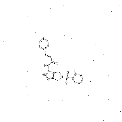 Cc1ccccc1S(=O)(=O)N1Cc2n[nH]c(NC(=O)/C=C/c3ccncc3)c2C1